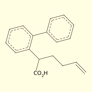 C=CCCC(C(=O)O)c1ccccc1-c1ccccc1